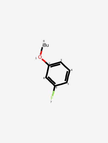 CCC(C)Oc1cccc(F)c1